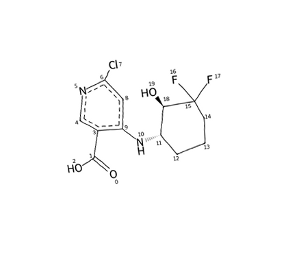 O=C(O)c1cnc(Cl)cc1N[C@H]1CCCC(F)(F)[C@@H]1O